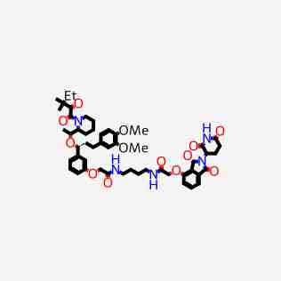 CCC(C)(C)C(=O)C(=O)N1CCCCC1C(C)O[C@H](CCc1ccc(OC)c(OC)c1)c1cccc(OCC(=O)NCCCCNC(=O)COc2cccc3c2C(=O)N(C2CCC(=O)NC2=O)C3=O)c1